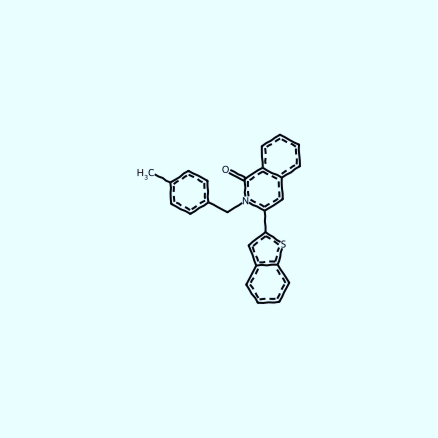 Cc1ccc(Cn2c(-c3cc4ccccc4s3)cc3ccccc3c2=O)cc1